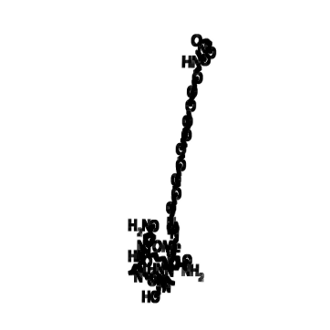 COc1cc(C(N)=O)cc2nc(NC(=O)c3cc(C)nn3CCO)n(C/C=C/Cn3c(NC(=O)c4cc(C)nn4CCO)nc4cc(C(N)=O)cc(OCCCN5CCN(CCOCCOCCOCCOCCOCCOCCOCCOCCOCCOCCNC(=O)CN6C(=O)C=CC6=O)CC5)c43)c12